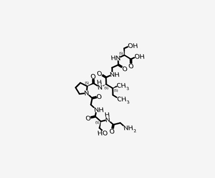 CC[C@H](C)[C@H](NC(=O)[C@@H]1CCCN1C(=O)CNC(=O)[C@H](CO)NC(=O)CN)C(=O)NCC(=O)N[C@@H](CO)C(=O)O